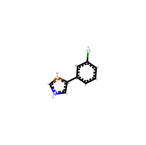 Clc1cccc(-c2cncs2)c1